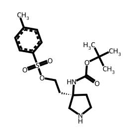 Cc1ccc(S(=O)(=O)OCC[C@]2(NC(=O)OC(C)(C)C)CCNC2)cc1